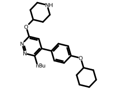 CCCCc1nnc(OC2CCNCC2)cc1-c1ccc(OC2CCCCC2)cc1